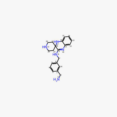 NCc1cccc(CNC2=Nc3ccccc3NC23CCNCC3)c1